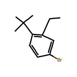 CCc1cc(Br)ccc1C(C)(C)C